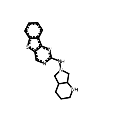 c1ccc2c(c1)sc1cnc(NN3CC4CCCNC4C3)nc12